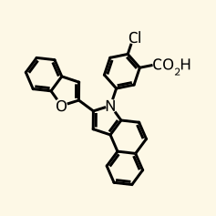 O=C(O)c1cc(-n2c(-c3cc4ccccc4o3)cc3c4ccccc4ccc32)ccc1Cl